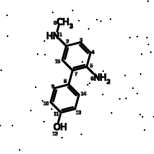 CNc1ccc(N)c(-c2ccc(O)cc2)c1